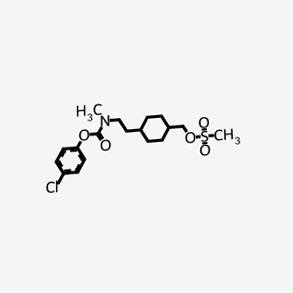 CN(CCC1CCC(COS(C)(=O)=O)CC1)C(=O)Oc1ccc(Cl)cc1